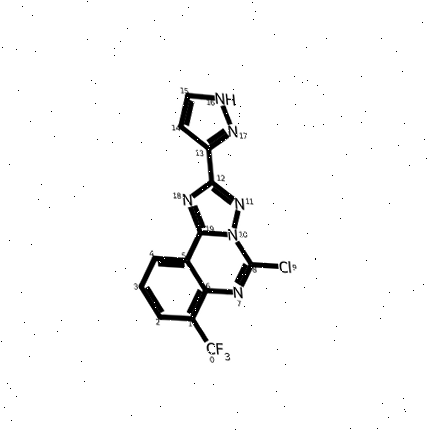 FC(F)(F)c1cccc2c1nc(Cl)n1nc(-c3cc[nH]n3)nc21